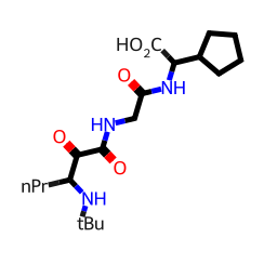 CCCC(NC(C)(C)C)C(=O)C(=O)NCC(=O)NC(C(=O)O)C1CCCC1